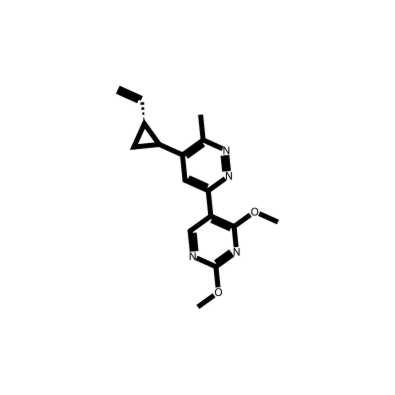 C=C[C@H]1CC1c1cc(-c2cnc(OC)nc2OC)nnc1C